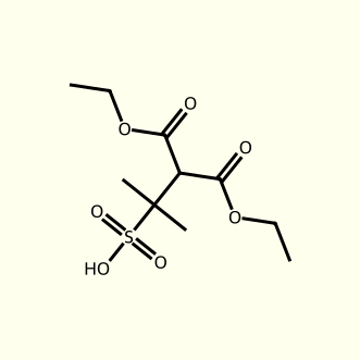 CCOC(=O)C(C(=O)OCC)C(C)(C)S(=O)(=O)O